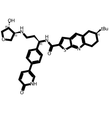 CC(C)(C)[C@H]1CCc2nc3sc(C(=O)N[C@H](CCN[C@H]4COC[C@@H]4O)c4ccc(-c5ccc(=O)[nH]c5)cc4)cc3cc2C1